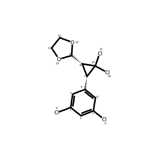 Clc1cc(Cl)cc([C@@H]2[C@H](C3OCCO3)C2(Cl)Cl)c1